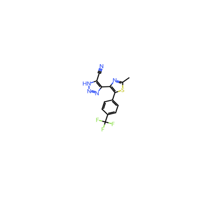 Cc1nc(-c2nn[nH]c2C#N)c(-c2ccc(C(F)(F)F)cc2)s1